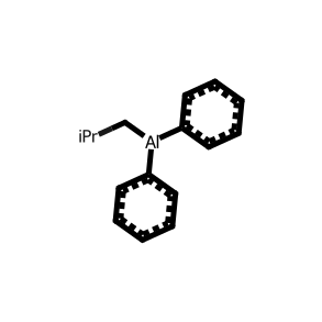 CC(C)[CH2][Al]([c]1ccccc1)[c]1ccccc1